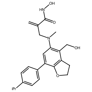 C=C(CN(C)c1cc(-c2ccc(C(C)C)cc2)c2c(c1CO)CCO2)C(=O)NO